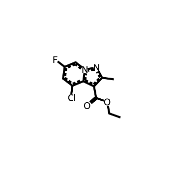 CCOC(=O)c1c(C)nn2cc(F)cc(Cl)c12